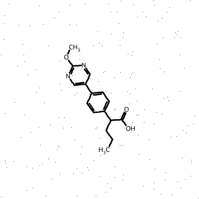 CCCC(C(=O)O)c1ccc(-c2cnc(OC)nc2)cc1